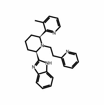 Cc1cccnc1[C@@H]1CCC[C@H](c2nc3ccccc3[nH]2)N1CCc1ccccn1